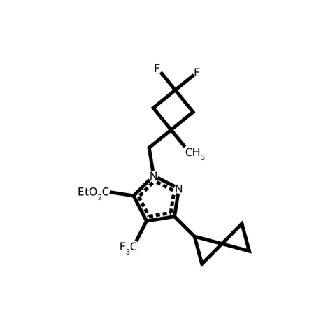 CCOC(=O)c1c(C(F)(F)F)c(C2CC23CC3)nn1CC1(C)CC(F)(F)C1